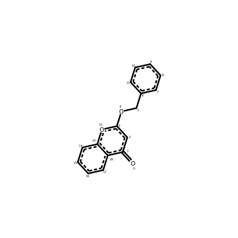 O=c1cc(OCc2ccccc2)oc2ccccc12